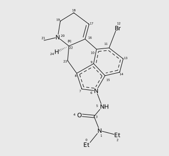 CCN(CC)C(=O)Nn1cc2c3c(c(Br)ccc31)C1=CCCN(C)[C@@H]1C2